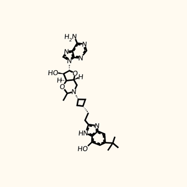 CC1O[C@H]2[C@@H](O)[C@H](n3cnc4c(N)ncnc43)O[C@@H]2CN1[C@H]1C[C@@H](CCc2nc3cc(C(C)(C)C)cc(O)c3[nH]2)C1